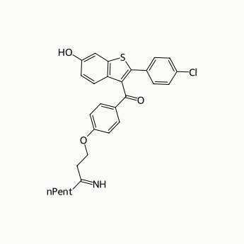 CCCCCC(=N)CCOc1ccc(C(=O)c2c(-c3ccc(Cl)cc3)sc3cc(O)ccc23)cc1